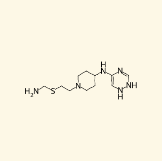 NCSCCN1CCC(NC2=CNNC=N2)CC1